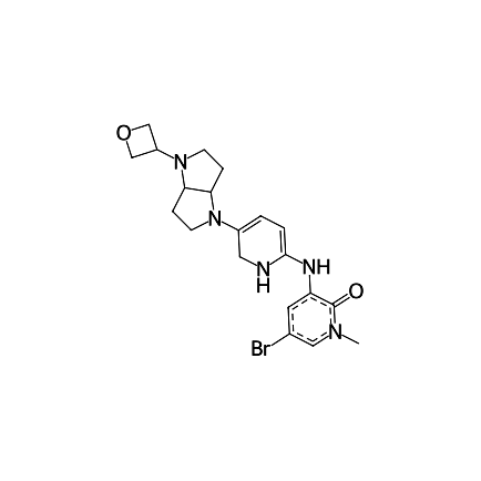 Cn1cc(Br)cc(NC2=CC=C(N3CCC4C3CCN4C3COC3)CN2)c1=O